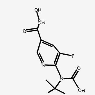 CC(C)(C)N(C(=O)O)c1ncc(C(=O)NO)cc1F